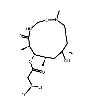 CCN(CC)CC(=O)O[C@H]1[C@H](C)C[C@](C)(O)CCCN(C)CCNC(=O)[C@@H]1C